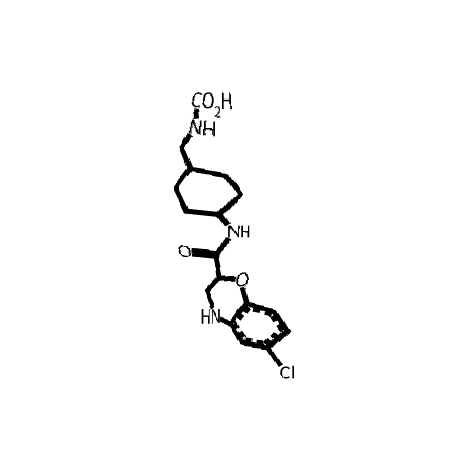 O=C(O)NCC1CCC(NC(=O)C2CNc3cc(Cl)ccc3O2)CC1